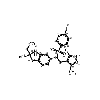 CCCC1(CC(=O)O)Nc2ccc(N(Cc3c(C)noc3C)S(=O)(=O)c3ccc(F)cc3)cc2N1